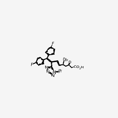 CC(C)n1nnnc1C(C=CC(O)CC(=O)CC(=O)O)=C(c1ccc(F)cc1)c1ccc(F)cc1